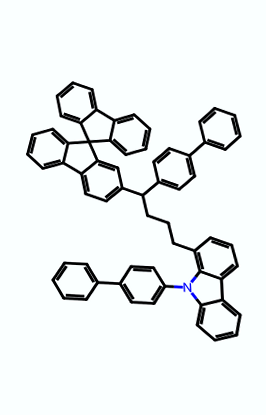 c1ccc(-c2ccc(C(CCCc3cccc4c5ccccc5n(-c5ccc(-c6ccccc6)cc5)c34)c3ccc4c(c3)C3(c5ccccc5-c5ccccc53)c3ccccc3-4)cc2)cc1